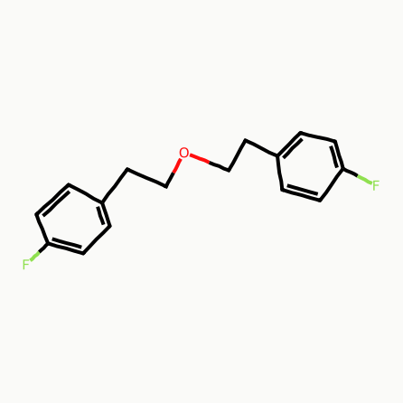 Fc1ccc(CCOCCc2ccc(F)cc2)cc1